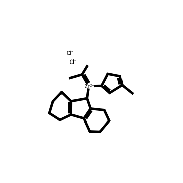 CC1=CC[C]([Zr+2](=[C](C)C)[CH]2C3=C(CCCC3)C3=C2CCCC3)=C1.[Cl-].[Cl-]